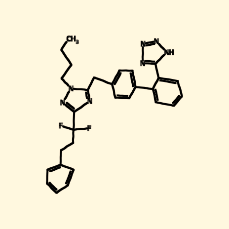 CCCCn1nc(C(F)(F)CCc2ccccc2)nc1Cc1ccc(-c2ccccc2-c2nnn[nH]2)cc1